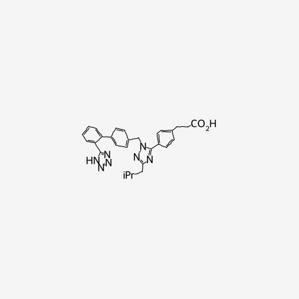 CC(C)Cc1nc(-c2ccc(CCC(=O)O)cc2)n(Cc2ccc(-c3ccccc3-c3nnn[nH]3)cc2)n1